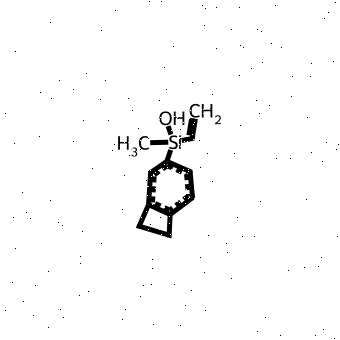 C=C[Si](C)(O)c1ccc2c(c1)CC2